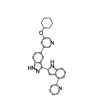 c1ccc(-c2cccc3[nH]c(-c4n[nH]c5ccc(-c6cncc(OC7CCCCC7)c6)cc45)cc23)nc1